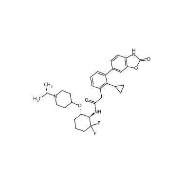 CC(C)N1CCC(O[C@H]2CCCC(F)(F)[C@@H]2NC(=O)Cc2cccc(-c3ccc4[nH]c(=O)oc4c3)c2C2CC2)CC1